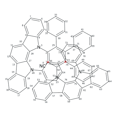 N#Cc1c(-n2c3ccccc3c3ccc4c5ccccc5n(-c5ccccc5)c4c32)c(-c2ccccc2)c(-c2ccccc2)c(-c2ccccc2)c1-n1c2ccccc2c2ccc3c4ccccc4n(-c4ccccc4)c3c21